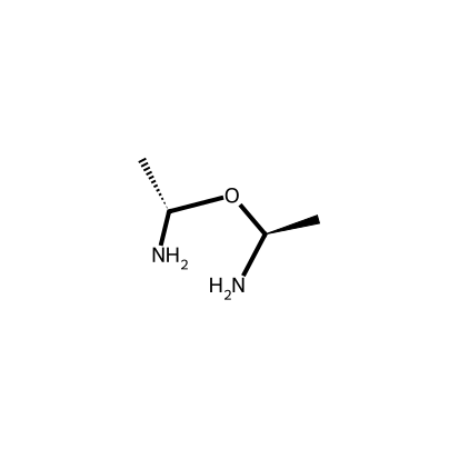 C[C@@H](N)O[C@@H](C)N